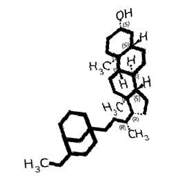 CCC1CCC2(CC[C@@H](C)[C@H]3CC[C@H]4[C@@H]5CC[C@H]6C[C@@H](O)CC[C@]6(C)[C@H]5CC[C@]34C)CCCC1C2